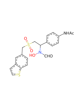 CC(=O)Nc1ccc(C(CS(=O)(=O)Cc2ccc3sccc3c2)N(O)C=O)cc1